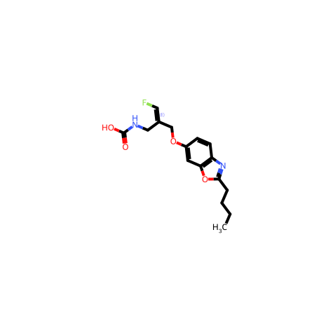 CCCCc1nc2ccc(OC/C(=C/F)CNC(=O)O)cc2o1